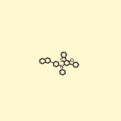 c1ccc(N(c2ccc(-c3ccc4ccccc4c3)cc2)c2cc3c4ccccc4oc3c3c2sc2ccccc23)cc1